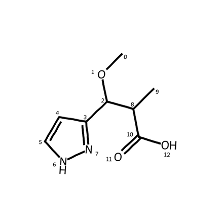 COC(c1cc[nH]n1)C(C)C(=O)O